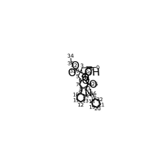 CC#CCC(Cc1cc2c3ccccc3n(Cc3ccccc3)c2c(=O)o1)(C(=O)O)C(=O)OCC